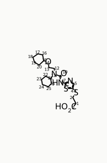 O=C(O)CCSc1cnc(NC(=O)N(CCOC2CCCCC2)C2CCCCC2)s1